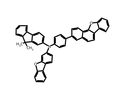 CC1(C)c2ccccc2-c2ccc(N(c3ccc(-c4ccc5c(ccc6c7ccccc7oc56)c4)cc3)c3ccc4c(c3)oc3ccccc34)cc21